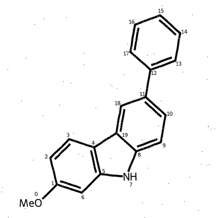 COc1ccc2c(c1)[nH]c1ccc(-c3ccccc3)cc12